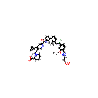 COc1cc(/C(F)=C/c2cccc(-c3cccc(NC(=O)c4cc(C5CC5)c(CN5CCCC[C@H]5C(=O)O)cn4)c3C)c2C)ccc1CNCCO